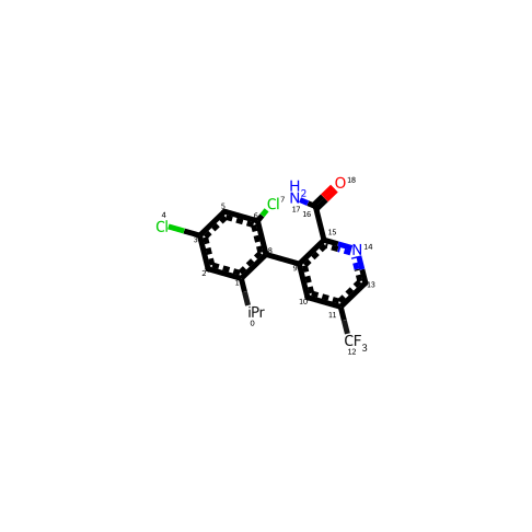 CC(C)c1cc(Cl)cc(Cl)c1-c1cc(C(F)(F)F)cnc1C(N)=O